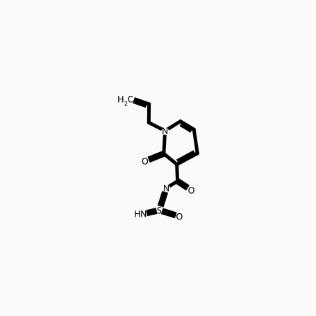 C=CCn1cccc(C(=O)N=S(=N)=O)c1=O